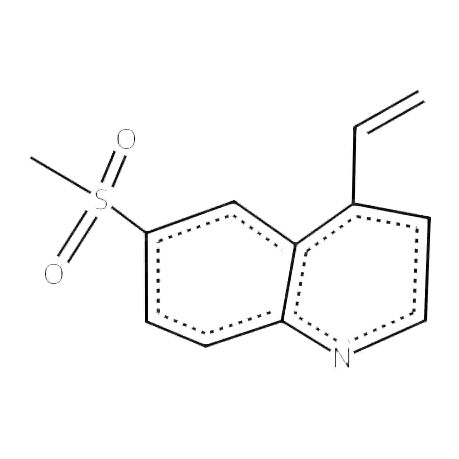 C=Cc1ccnc2ccc(S(C)(=O)=O)cc12